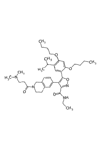 CCCCOc1cc(OCCCC)c(C(C)C)cc1-c1onc(C(=O)NCC)c1-c1ccc2c(c1)CCN(C(=O)CCN(C)C)C2